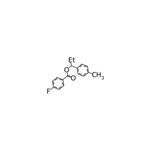 CCC(OC(=O)c1ccc(F)cc1)c1ccc(C)cc1